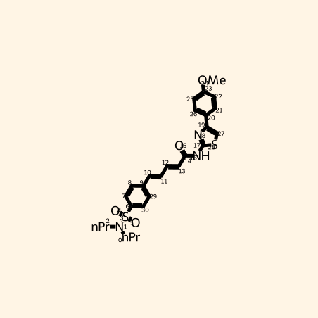 CCCN(CCC)S(=O)(=O)c1ccc(/C=C/C=C/C(=O)Nc2nc(-c3ccc(OC)cc3)cs2)cc1